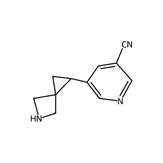 N#Cc1cncc(C2CC23CNC3)c1